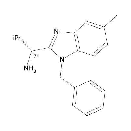 Cc1ccc2c(c1)nc([C@H](N)C(C)C)n2Cc1ccccc1